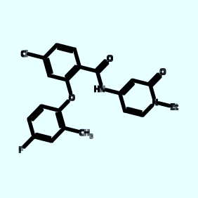 CCn1ccc(NC(=O)c2ccc(Cl)cc2Oc2ccc(F)cc2C)cc1=O